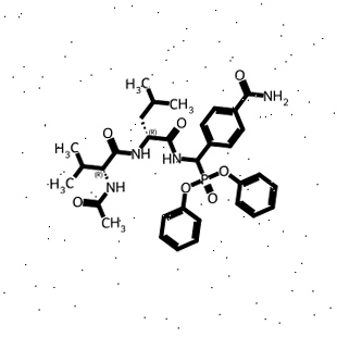 CC(=O)N[C@@H](C(=O)N[C@H](CC(C)C)C(=O)NC(c1ccc(C(N)=O)cc1)P(=O)(Oc1ccccc1)Oc1ccccc1)C(C)C